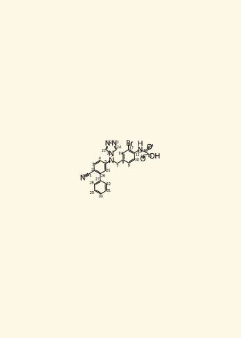 N#Cc1ccc(N(Cc2ccc(NS(=O)(=O)O)c(Br)c2)n2cnnc2)cc1-c1ccccc1